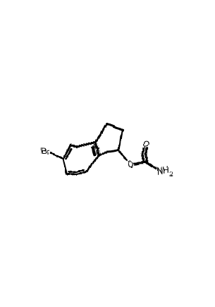 NC(=O)OC1CCc2cc(Br)ccc21